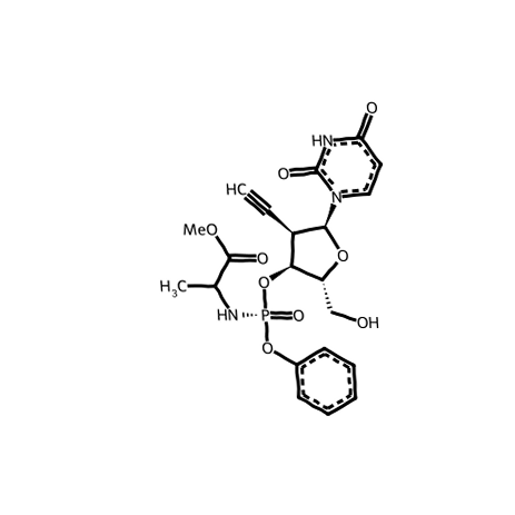 C#C[C@@H]1[C@H](O[P@](=O)(NC(C)C(=O)OC)Oc2ccccc2)[C@@H](CO)O[C@@H]1n1ccc(=O)[nH]c1=O